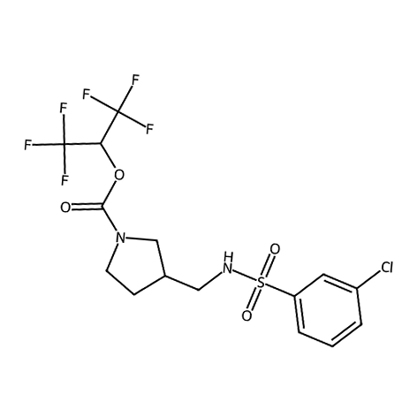 O=C(OC(C(F)(F)F)C(F)(F)F)N1CCC(CNS(=O)(=O)c2cccc(Cl)c2)C1